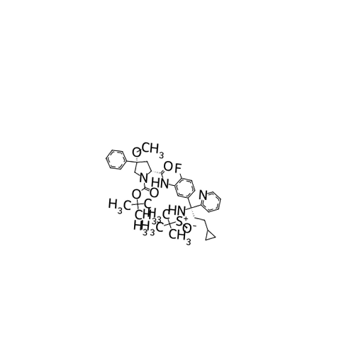 CO[C@]1(c2ccccc2)C[C@H](C(=O)Nc2cc([C@](CCC3CC3)(N[S@@+]([O-])C(C)(C)C)c3ccccn3)ccc2F)N(C(=O)OC(C)(C)C)C1